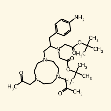 CC(=O)CN1CCN(CC(C)=O)CCN(CC(Cc2ccc(N)cc2)N(CC(=O)OC(C)(C)C)CC(=O)OC(C)(C)C)CC1